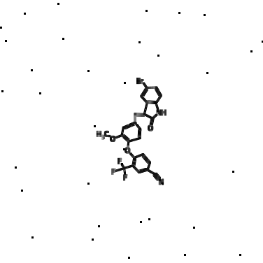 COc1cc(C=C2C(=O)Nc3ccc(Br)cc32)ccc1Oc1ccc(C#N)cc1C(F)(F)F